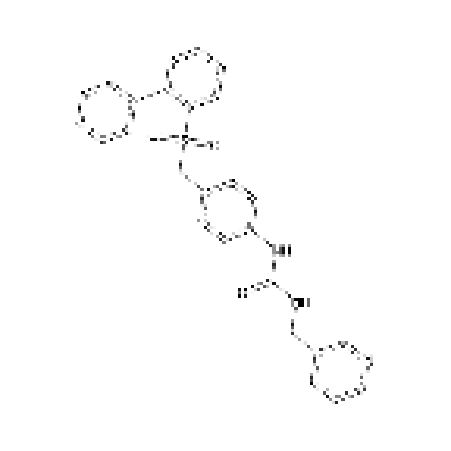 O=C(NCc1cccnc1)Nc1ccc(CS(=O)(=O)c2ccccc2-c2ccccc2)cc1